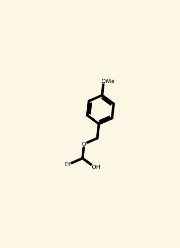 CCC(O)OCc1ccc(OC)cc1